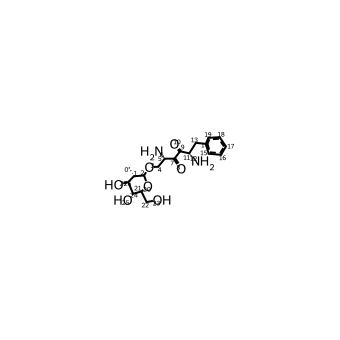 C[C@@H]1C(OC[C@H](N)C(=O)C(=O)[C@@H](N)Cc2ccccc2)OC(CO)[C@@H](O)C1O